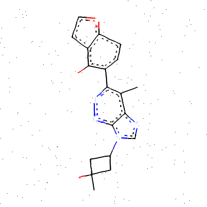 Cc1c(-c2ccc3occc3c2O)nnc2c1ncn2C1CC(C)(O)C1